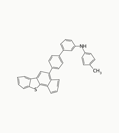 Cc1ccc(Nc2cccc(-c3ccc(-c4cc5c6ccccc6sc5c5ccccc45)cc3)c2)cc1